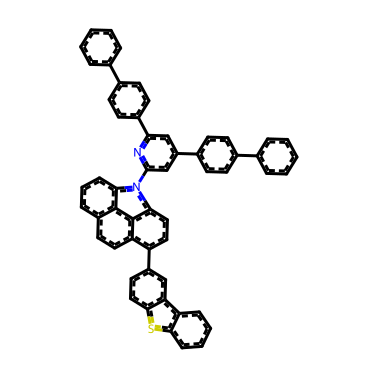 c1ccc(-c2ccc(-c3cc(-c4ccc(-c5ccccc5)cc4)nc(-n4c5cccc6ccc7c(-c8ccc9sc%10ccccc%10c9c8)ccc4c7c65)c3)cc2)cc1